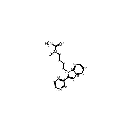 NC(=O)N(O)CCCCn1c(-c2cccnc2)cc2ccccc21